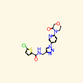 O=C(NCc1cn(-c2ccc(N3CCOCC3=O)nc2)nn1)c1ccc(Cl)s1